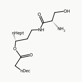 CCCCCCCCCCCC(=O)O[C@H](CCCCCCC)CCNC(=O)[C@@H](N)CO